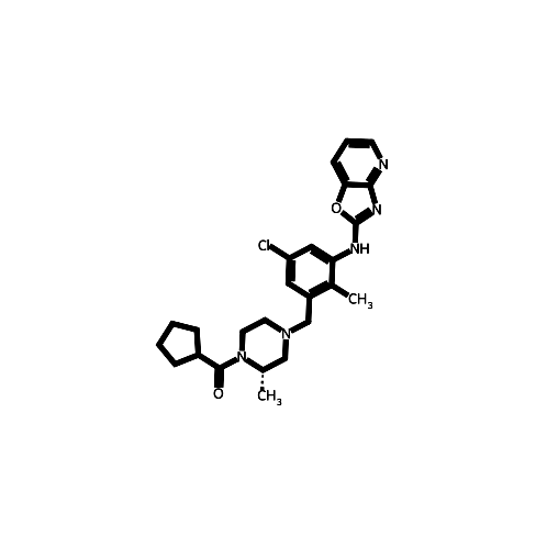 Cc1c(CN2CCN(C(=O)C3CCCC3)[C@@H](C)C2)cc(Cl)cc1Nc1nc2ncccc2o1